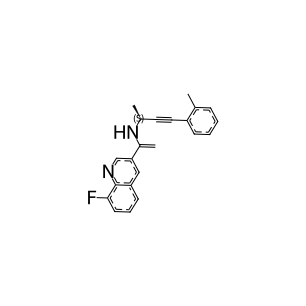 C=C(N[C@@H](C)C#Cc1ccccc1C)c1cnc2c(F)cccc2c1